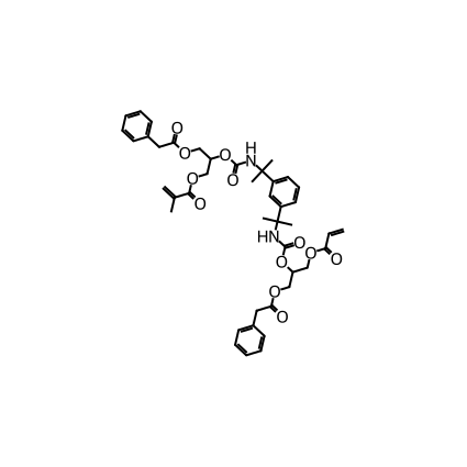 C=CC(=O)OCC(COC(=O)Cc1ccccc1)OC(=O)NC(C)(C)c1cccc(C(C)(C)NC(=O)OC(COC(=O)Cc2ccccc2)COC(=O)C(=C)C)c1